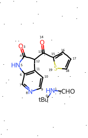 CC(C)(C)NC=O.O=C1Nc2cnccc2C1C(=O)c1cccs1